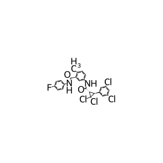 Cc1ccc(NC(=O)[C@@H]2[C@@H](c3cc(Cl)cc(Cl)c3)C2(Cl)Cl)cc1C(=O)Nc1ccc(F)cc1